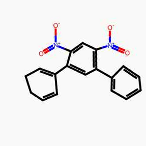 O=[N+]([O-])c1cc([N+](=O)[O-])c(-c2ccccc2)cc1C1=CCCC=C1